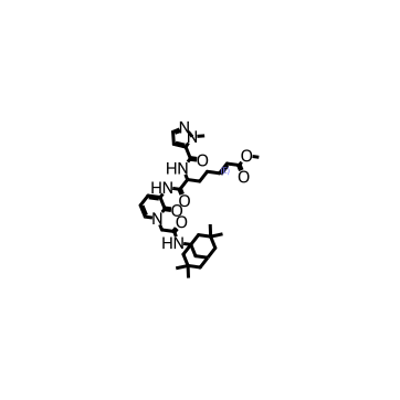 COC(=O)/C=C/CCC(NC(=O)c1ccnn1C)C(=O)Nc1cccn(CC(=O)NC23CC(CC(C)(C)C2)CC(C)(C)C3)c1=O